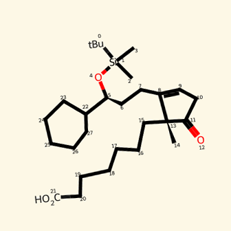 CC(C)(C)[Si](C)(C)O[C@@H](CCC1=CCC(=O)[C@]1(C)CCCCCCC(=O)O)C1CCCCC1